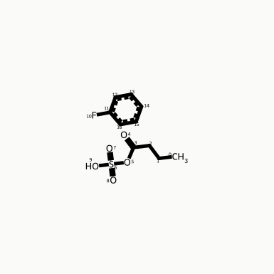 CCCC(=O)OS(=O)(=O)O.Fc1ccccc1